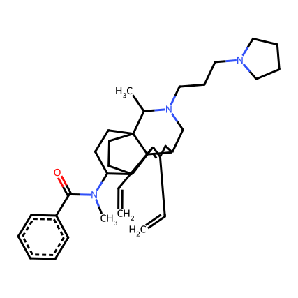 C=CC1=C(C=C)C23C(C1)CN(CCCN1CCCC1)C(C)C21CCC(N(C)C(=O)c2ccccc2)C3CC1